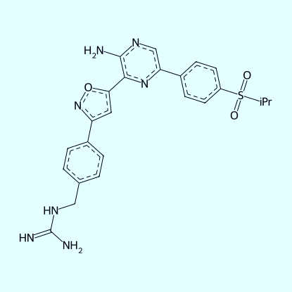 CC(C)S(=O)(=O)c1ccc(-c2cnc(N)c(-c3cc(-c4ccc(CNC(=N)N)cc4)no3)n2)cc1